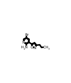 CCCc1cc(-c2cc(Br)cnc2N)on1